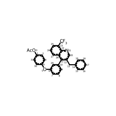 CC(=O)Oc1ccc(Oc2cccc(-c3c(Cc4ccccc4)cnc4c(C(F)(F)F)cccc34)c2)cc1